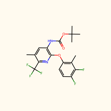 Cc1cc(NC(=O)OC(C)(C)C)c(Oc2ccc(F)c(F)c2C)nc1C(F)(F)F